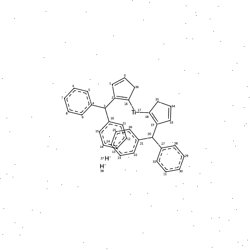 C1=CC(C(c2ccccc2)c2ccccc2)=[C]([Ti][C]2=C(C(c3ccccc3)c3ccccc3)C=CC2)C1.[H-].[H-]